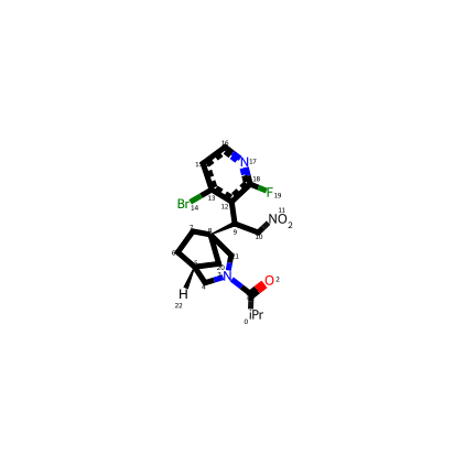 CC(C)C(=O)N1C[C@@H]2CC[C@@](C(C[N+](=O)[O-])c3c(Br)ccnc3F)(C2)C1